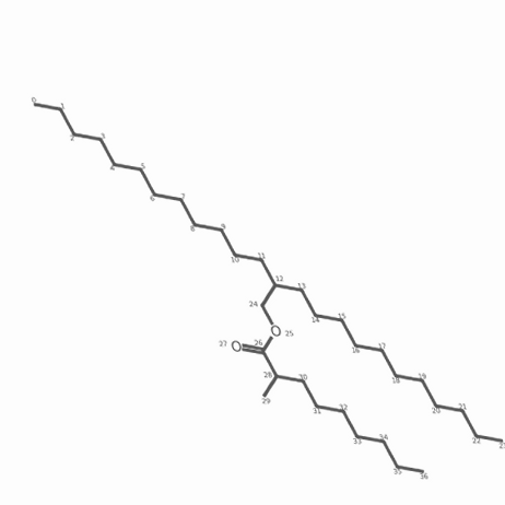 CCCCCCCCCCCCC(CCCCCCCCCCC)COC(=O)C(C)CCCCCCC